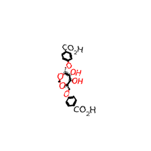 O=C(O)c1ccc(OC[C@H]2OCO[C@H](COc3ccc(C(=O)O)cc3)[C@@H](O)[C@@H]2O)cc1